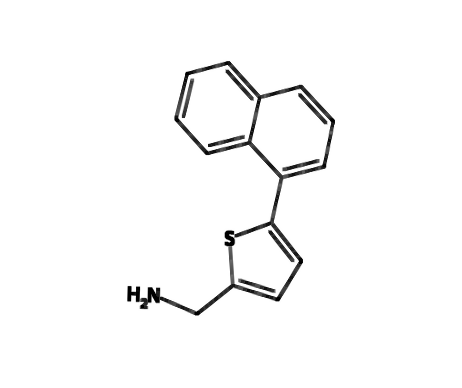 NCc1ccc(-c2cccc3ccccc23)s1